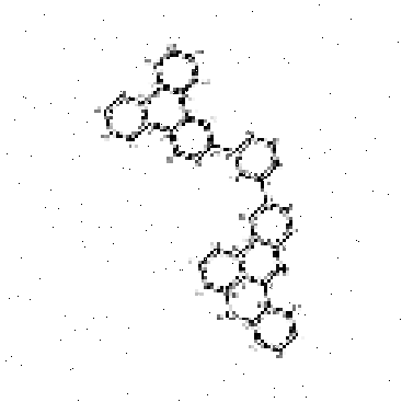 c1cc(-c2ccc3nc4c5c(cccc5c3c2)Oc2ccccc2-4)cc(-c2ccc3c4ccccc4c4ccccc4c3c2)c1